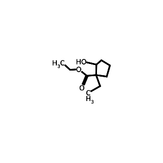 CCOC(=O)C1(CC)CCCC1O